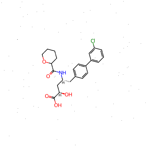 O=C(N[C@H](Cc1ccc(-c2cccc(Cl)c2)cc1)C[C@@H](O)C(=O)O)C1CCCCO1